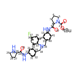 CC(C)(C)OC(=O)N1CCCC1C(=O)Nc1ccc(CN(Cc2ccc(NC(=O)C3CCCN3)cc2)c2ccc(F)cc2)cc1